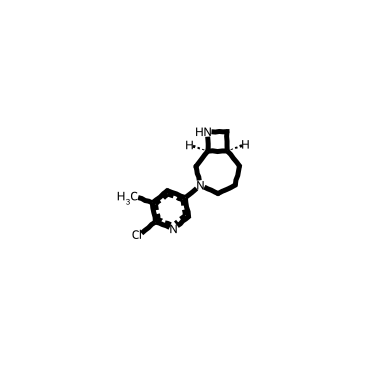 Cc1cc(N2CCC[C@@H]3CN[C@@H]3C2)cnc1Cl